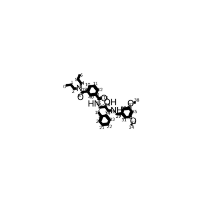 CCCN(CCC)C(=O)c1cccc(C(=O)N[C@@H](Cc2ccccc2)[C@H](O)CNCc2cc(OC)cc(OC)c2)c1